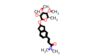 CO[C@@H]1[C@@H](OC)[C@H](C)O[C@@H](OC2Cc3ccc(C=CC(=O)N(C)C)cc3C2)[C@@H]1OC